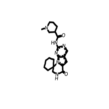 CN1CCCC(C(=O)Nc2ncc3cc4n(c3n2)C2(CCCCC2)CNC4=O)C1